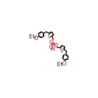 CCOc1ccc(Cc2ccc(CO[PH](=O)OCc3ccc(Cc4ccc(OCC)cc4)s3)s2)cc1